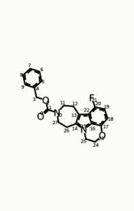 O=C(OCc1ccccc1)N1CCc2c(n3c4c(ccc(F)c24)OCC3)CC1